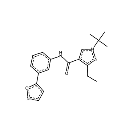 CCc1nn(C(C)(C)C)cc1C(=O)Nc1cccc(-c2ccno2)c1